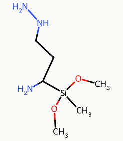 CO[Si](C)(OC)C(N)CCNN